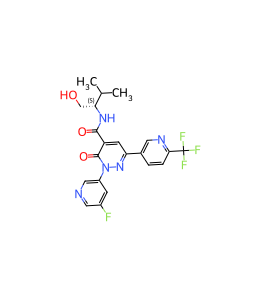 CC(C)[C@@H](CO)NC(=O)c1cc(-c2ccc(C(F)(F)F)nc2)nn(-c2cncc(F)c2)c1=O